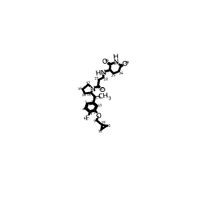 C[C@H](c1ccc(F)c(OCC2CC2)c1)C1CCCN1C(=O)CCNC1CCC(=O)NC1=O